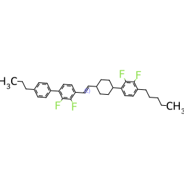 CCCCCc1ccc(C2CCC(/C=C/c3ccc(-c4ccc(CCC)cc4)c(F)c3F)CC2)c(F)c1F